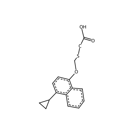 O=C(O)CSCOc1ccc(C2CC2)c2ccccc12